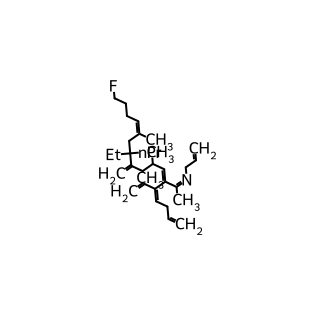 C=CC\C=C(C(=C)C)/C(=C\C(C)CC(=C)C(CC)(CCC)C/C(C)=C\CCCF)C(/C)=N\CC=C